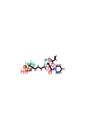 C=CC(=O)OC(OCCCCC(F)(F)C(F)(F)S(=O)(=O)O)(C(=O)N1CCCCC1)C(F)(F)F